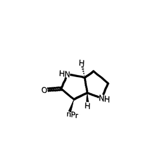 CCC[C@H]1C(=O)N[C@H]2CCN[C@@H]21